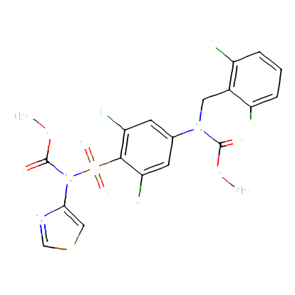 CC(C)(C)OC(=O)N(Cc1c(F)cccc1Br)c1cc(F)c(S(=O)(=O)N(C(=O)OC(C)(C)C)c2cscn2)c(F)c1